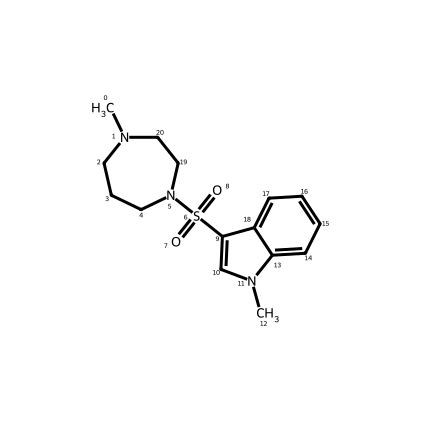 CN1CCCN(S(=O)(=O)c2cn(C)c3ccccc23)CC1